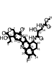 CC[C@@]1(O)C(=O)OCc2c1cc1n(c2=O)Cc2c-1nc1cc(F)c(C)c3c1c2[C@@H](NC(=O)[C@@H](O)CNC(=O)OC)CC3